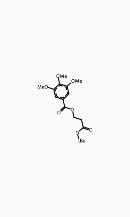 COc1cc(C(=O)OCCC(=O)OC(C)(C)C)cc(OC)c1OC